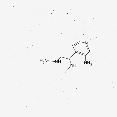 CNC(CNN)c1ccncc1N